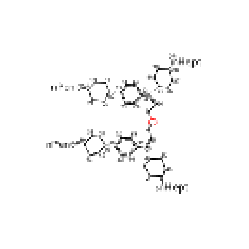 CCCCCCC[C@H]1CC[C@H](C(=CCOCC=C(c2ccc([C@H]3CC[C@H](CCCCC)CC3)cc2)[C@H]2CC[C@H](CCCCCCC)CC2)c2ccc([C@H]3CC[C@H](CCCCC)CC3)cc2)CC1